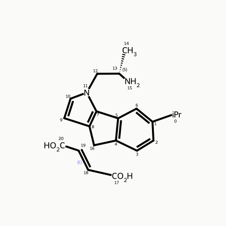 CC(C)c1ccc2c(c1)-c1c(ccn1C[C@H](C)N)C2.O=C(O)/C=C/C(=O)O